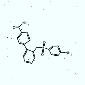 NC(=O)c1ccc(-c2ccccc2CS(=O)(=O)c2ccc(N)cc2)cc1